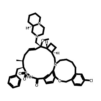 CO[C@@]1(CN2CCN3CCCC[C@@H]3C2)/C=C/C[C@H](C)[C@H](Cc2ccccc2)S(=O)(=O)NC(=O)c2ccc3c(c2)N(CCCCc2cc(Cl)ccc2CO3)C[C@@H]2CC[C@H]21